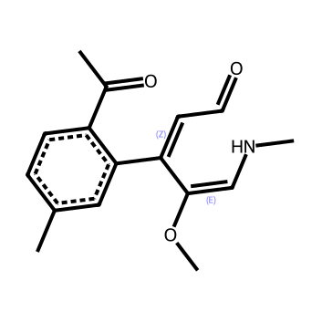 CN/C=C(OC)\C(=C/C=O)c1cc(C)ccc1C(C)=O